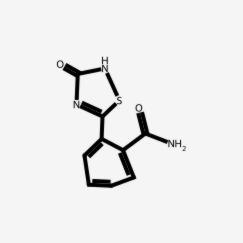 NC(=O)c1ccccc1-c1nc(=O)[nH]s1